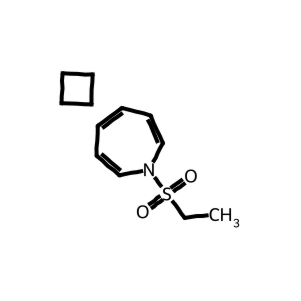 C1CCC1.CCS(=O)(=O)N1C=CC=CC=C1